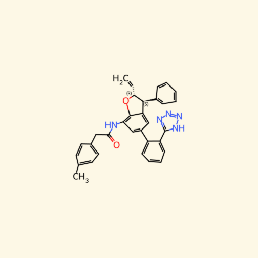 C=C[C@H]1Oc2c(NC(=O)Cc3ccc(C)cc3)cc(-c3ccccc3-c3nnn[nH]3)cc2[C@@H]1c1ccccc1